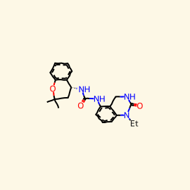 CCN1C(=O)NCc2c(NC(=O)N[C@@H]3CC(C)(C)Oc4ccccc43)cccc21